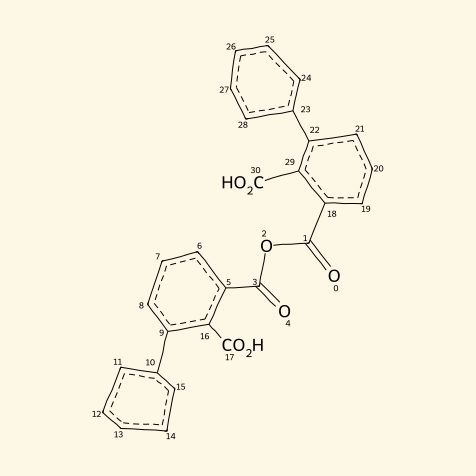 O=C(OC(=O)c1cccc(-c2ccccc2)c1C(=O)O)c1cccc(-c2ccccc2)c1C(=O)O